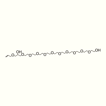 C=CCOCC(O)COCCOCCOCCOCCOCCOCCOCCOCCOCCOCCO